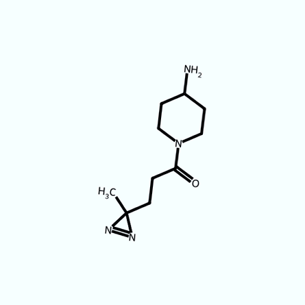 CC1(CCC(=O)N2CCC(N)CC2)N=N1